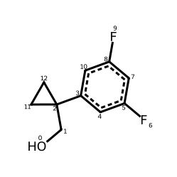 OCC1(c2cc(F)cc(F)c2)CC1